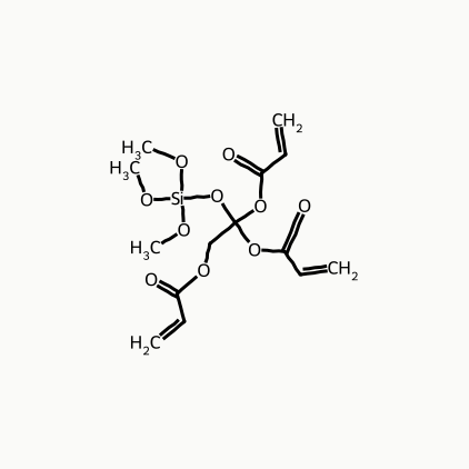 C=CC(=O)OCC(OC(=O)C=C)(OC(=O)C=C)O[Si](OC)(OC)OC